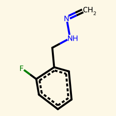 C=NNCc1ccccc1F